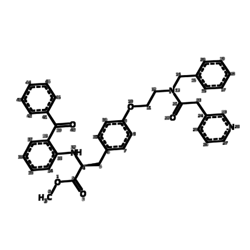 COC(=O)[C@H](Cc1ccc(OCCN(Cc2ccccc2)C(=O)Cc2cccnc2)cc1)Nc1ccccc1C(=O)c1ccccc1